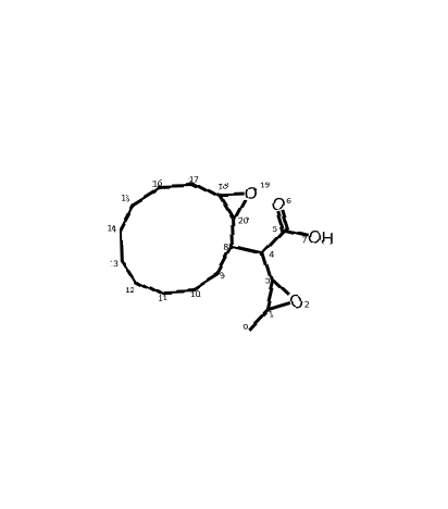 CC1OC1C(C(=O)O)C1CCCCCCCCCC2OC21